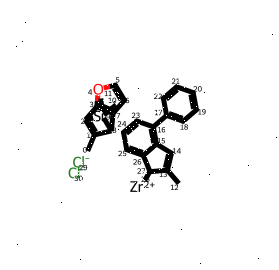 CC1=C2c3occc3C1[Si]2(C)C.CC1=Cc2c(-c3ccccc3)cccc2[CH]1[Zr+2].[Cl-].[Cl-]